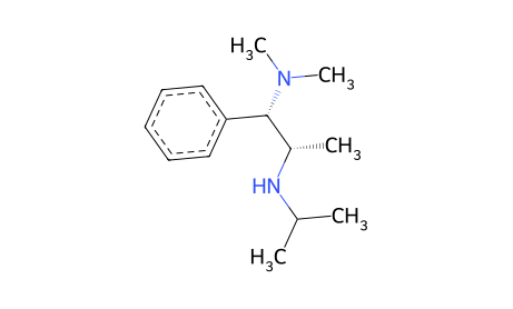 CC(C)N[C@@H](C)[C@H](c1ccccc1)N(C)C